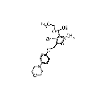 CCOC(O)c1c(Br)c(COc2ccc(N3CCOCC3)cc2)nn1C